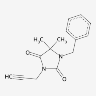 C#CCN1C(=O)N(Cc2ccccc2)C(C)(C)C1=O